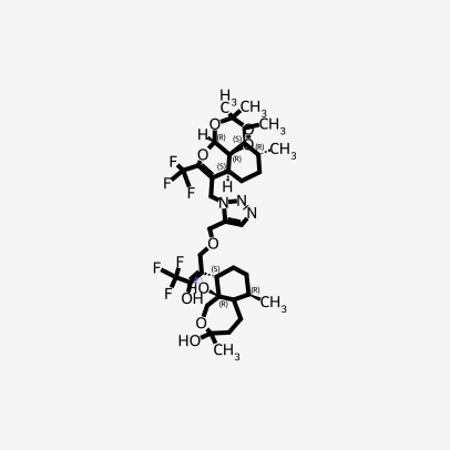 CC[C@H]1[C@H](C)CC[C@H]2C(Cn3nncc3COC/C(=C(/O)C(F)(F)F)[C@@H]3CC[C@@H](C)C4CCC(C)(O)OC[C@@]43O)=C(C(F)(F)F)O[C@@H]3OC(C)(C)OO[C@@]321